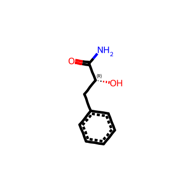 NC(=O)[C@H](O)Cc1ccccc1